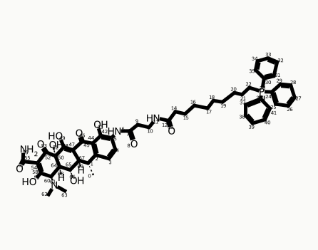 C[C@H]1c2ccc(NC(=O)CCNC(=O)CCCCCCCCC[PH](c3ccccc3)(c3ccccc3)c3ccccc3)c(O)c2C(=O)C2=C(O)[C@]3(O)C(=O)C(C(N)=O)=C(O)[C@@H](N(C)C)[C@@H]3[C@@H](O)[C@@H]21